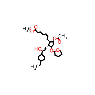 CCC1CCC([C@H](O)/C=C/[C@@H]2[C@@H](C/C=C\CCCC(=O)OC)[C@@H](OC(C)=O)C[C@H]2OC2CCCCO2)CC1